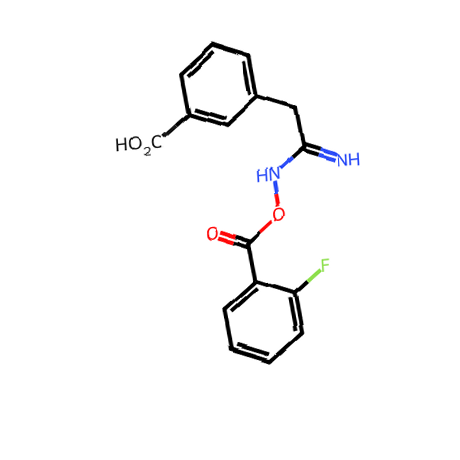 N=C(Cc1cccc(C(=O)O)c1)NOC(=O)c1ccccc1F